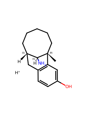 C[C@@]12CCCCC[C@@H](Cc3ccc(O)cc31)[C@@H]2N.[H+]